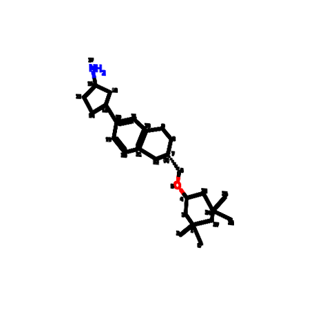 CC1(C)CC(OC[C@H]2CCc3cc(C4CCC(N)C4)ccc3C2)CC(C)(C)C1